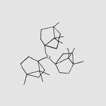 CC12CC[C]([Cr]([C]34CCC(C)(CC3)C4(C)C)[C]34CCC(C)(CC3)C4(C)C)(CC1)C2(C)C